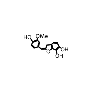 COc1cc(C=C2Cc3ccc(O)c(O)c3O2)ccc1O